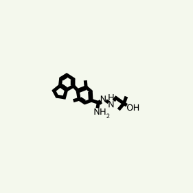 Cc1cc(/C(N)=N/NCC(C)(C)O)cc(C)c1-c1cccc2c1CCC2